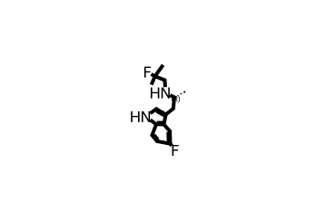 C[C@H](Cc1c[nH]c2ccc(F)cc12)NCC(C)(C)F